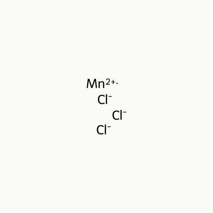 [Cl-].[Cl-].[Cl-].[Mn+2]